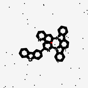 c1cc(-c2ccc3oc4ccccc4c3c2)nc(-n2c3ccccc3c3ccc4c5ccccc5n(-c5ccc6ncccc6c5)c4c32)c1